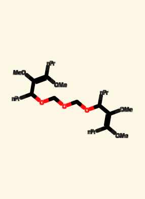 CCCC(OC)=C(OC)C(CCC)OCOCOC(CCC)C(OC)=C(CCC)OC